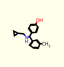 Cc1cccc(C(NCC2CC2)c2ccc(O)cc2)c1